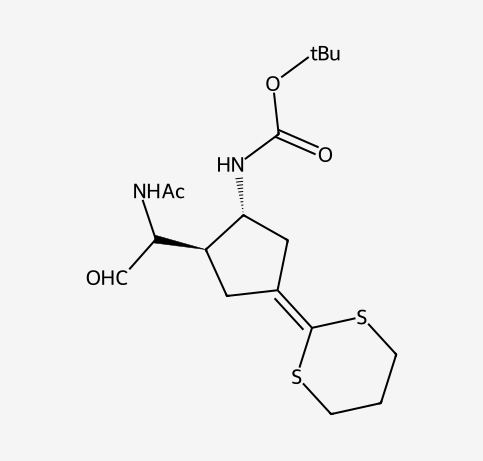 CC(=O)NC(C=O)[C@@H]1CC(=C2SCCCS2)C[C@H]1NC(=O)OC(C)(C)C